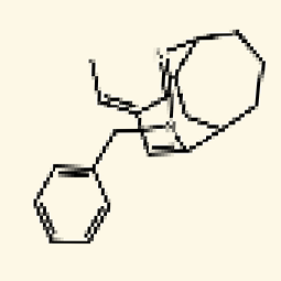 C/C=c1/cc2n(Cc3ccccc3)/c1=N/C1CCCC2CC1